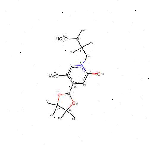 COc1cn(CC(C)(C)C(C)C(=O)O)c(=O)cc1B1OC(C)(C)C(C)(C)O1